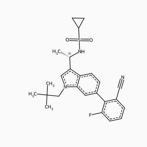 C[C@H](NS(=O)(=O)C1CC1)c1cn(CC(C)(C)C)c2cc(-c3c(F)cccc3C#N)ccc12